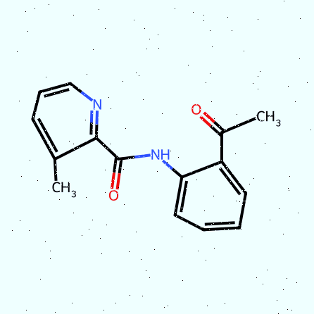 CC(=O)c1ccccc1NC(=O)c1ncccc1C